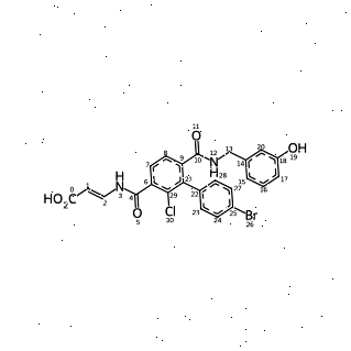 O=C(O)C=CNC(=O)c1ccc(C(=O)NCc2cccc(O)c2)c(-c2ccc(Br)cc2)c1Cl